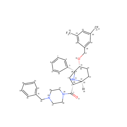 O=C([C@@H]1C[C@]2(c3ccccc3)N[C@H]1CC[C@H]2OCc1cc(C(F)(F)F)cc(C(F)(F)F)c1)N1CCN(Cc2ccccc2)CC1